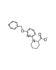 COC(=O)C1CCCCN1c1cccc(OCc2ccccc2)n1